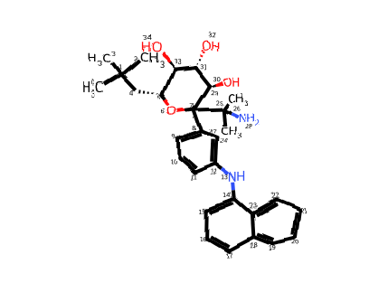 CC(C)(C)C[C@H]1OC(c2cccc(Nc3cccc4ccccc34)c2)(C(C)(C)N)[C@H](O)[C@@H](O)[C@@H]1O